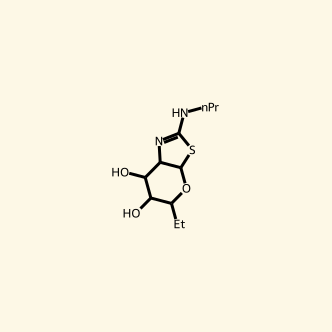 CCCNC1=NC2C(OC(CC)C(O)C2O)S1